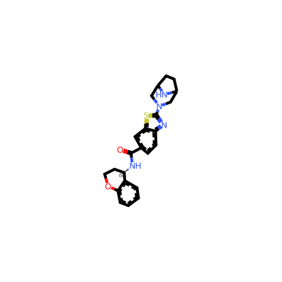 O=C(N[C@H]1CCOc2ccccc21)c1ccc2nc(N3CC4CCC(C3)N4)sc2c1